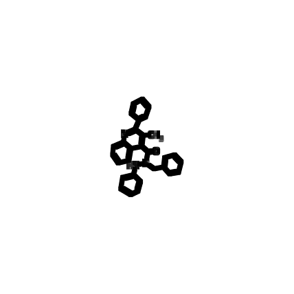 Cc1c(-c2ccccc2)nc2ccccc2c1C(=O)N(Cc1ccccc1)Nc1ccccc1